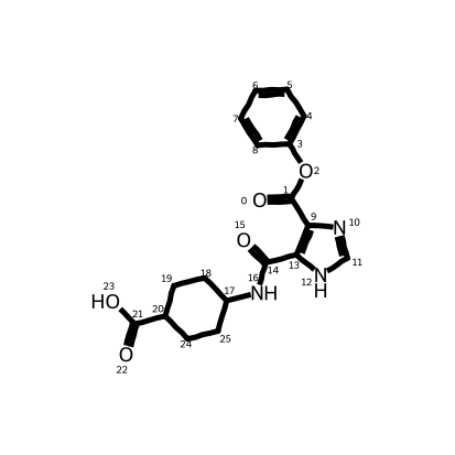 O=C(Oc1ccccc1)c1nc[nH]c1C(=O)NC1CCC(C(=O)O)CC1